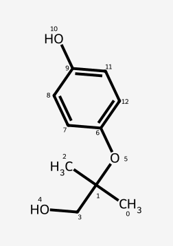 CC(C)(CO)Oc1ccc(O)cc1